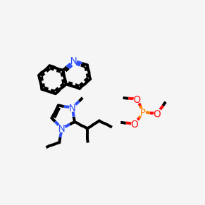 CCC(C)C1N(C)C=CN1CC.COP(OC)OC.c1ccc2ncccc2c1